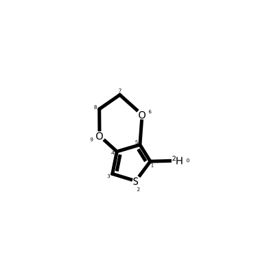 [2H]c1scc2c1OCCO2